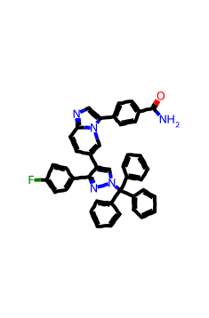 NC(=O)c1ccc(-c2cnc3ccc(-c4cn(C(c5ccccc5)(c5ccccc5)c5ccccc5)nc4-c4ccc(F)cc4)cn23)cc1